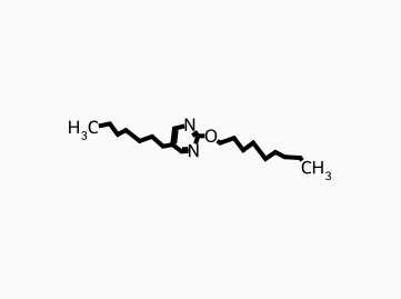 CCCCCCCCCOc1ncc(CCCCCCC)cn1